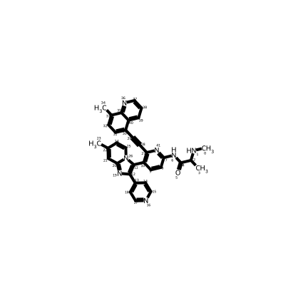 CNC(C)C(=O)Nc1ccc(-c2c(-c3ccncc3)nc3cc(C)ccn23)c(C#Cc2ccc(C)c3ncccc23)n1